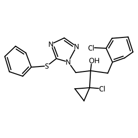 OC(Cc1ccccc1Cl)(Cn1ncnc1Sc1ccccc1)C1(Cl)CC1